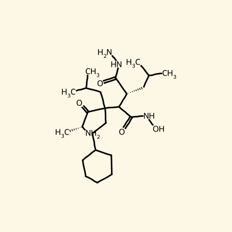 CC(C)C[C@@H](C(=O)NN)C(C(=O)NO)C(CCC1CCCCC1)(CC(C)C)C(=O)[C@@H](C)N